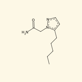 CCCCCc1ccnn1CC(N)=O